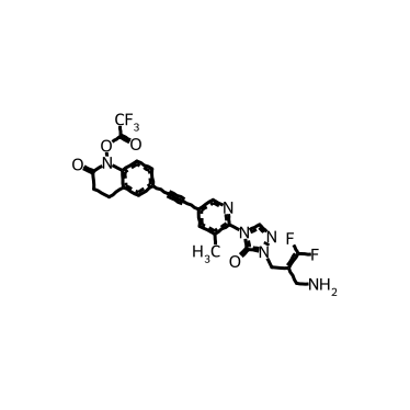 Cc1cc(C#Cc2ccc3c(c2)CCC(=O)N3OC(=O)C(F)(F)F)cnc1-n1cnn(CC(CN)=C(F)F)c1=O